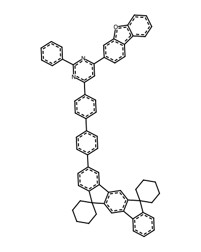 c1ccc(-c2nc(-c3ccc(-c4ccc(-c5ccc6c(c5)-c5cc7c(cc5C65CCCCC5)-c5ccccc5C75CCCCC5)cc4)cc3)cc(-c3ccc4c(c3)oc3ccccc34)n2)cc1